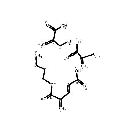 C=C(C)C(=O)O.C=C(C=CC(=O)O)C(=O)OCCCC.C=C(CC)C(=O)O